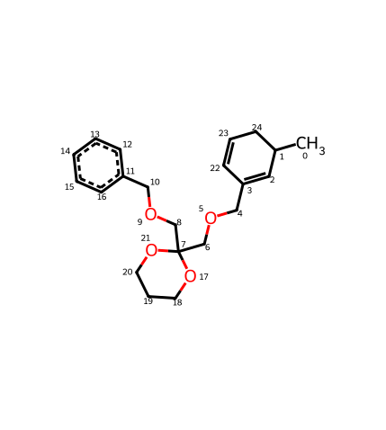 CC1C=C(COCC2(COCc3ccccc3)OCCCO2)C=CC1